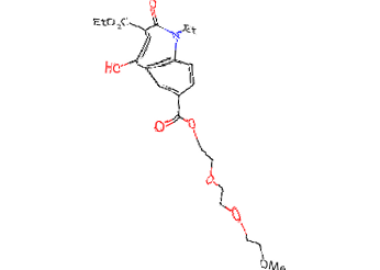 CCOC(=O)c1c(O)c2cc(C(=O)OCCOCCOCCOC)ccc2n(CC)c1=O